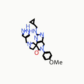 COc1ccc(N2Cc3cnc(NCC4CC4)nc3C3(CCN(Cc4cn[nH]c4)C3)C2=O)cc1